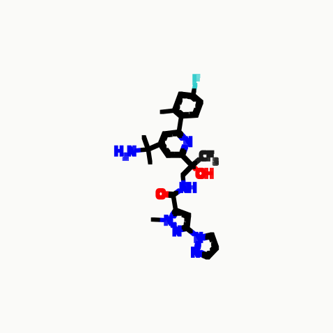 Cc1cc(F)ccc1-c1cc(C(C)(C)N)cc(C(O)(CNC(=O)c2cc(-n3cccn3)nn2C)C(F)(F)F)n1